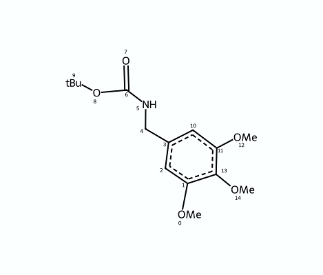 COc1cc(CNC(=O)OC(C)(C)C)cc(OC)c1OC